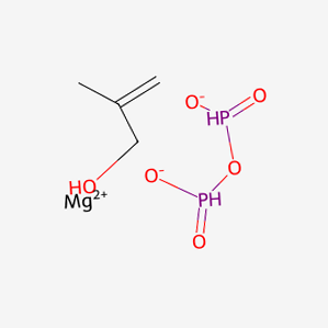 C=C(C)CO.O=[PH]([O-])O[PH](=O)[O-].[Mg+2]